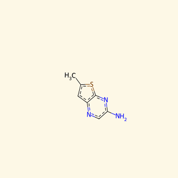 Cc1cc2ncc(N)nc2s1